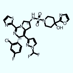 O=S(=O)(N[C@H]1CC2=C(c3ccn(C(F)F)n3)[C@H](c3ccc(F)cc3Cl)N=C(c3nccs3)N2C1)N1CCC(O)(c2ncco2)CC1